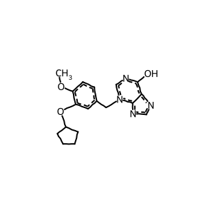 COc1ccc(Cn2cnc(O)c3ncnc2-3)cc1OC1CCCC1